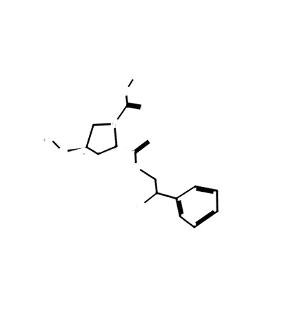 CC(C)O[C@@H]1C[C@@H](C(=O)OCC(O)c2ccccc2)N(C(=O)OC(C)(C)C)C1